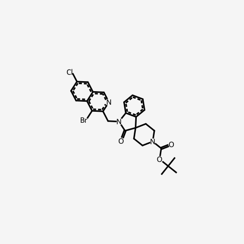 CC(C)(C)OC(=O)N1CCC2(CC1)C(=O)N(Cc1ncc3cc(Cl)ccc3c1Br)c1ccccc12